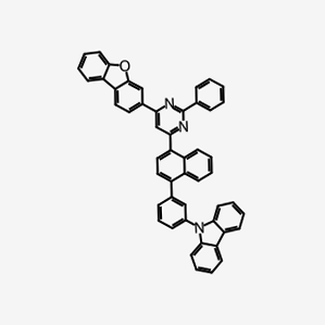 c1ccc(-c2nc(-c3ccc4c(c3)oc3ccccc34)cc(-c3ccc(-c4cccc(-n5c6ccccc6c6ccccc65)c4)c4ccccc34)n2)cc1